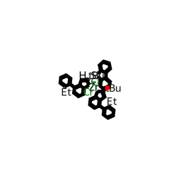 CCc1ccccc1-c1cccc2c1C=C(C(C)(C)C)[CH]2[Zr]([Cl])([Cl])([c]1cccc2c1[SiH2]c1ccccc1-2)[CH]1C(C(C)(C)C)=Cc2c(-c3ccccc3CC)cccc21